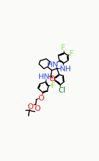 CC(C)(C)OC(=O)COc1ccc(NC(=O)C(C2CCCCC2)C2(c3ccc(Cl)cc3)Nc3cc(F)c(F)cc3N2)c(F)c1